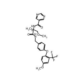 COC[C@@](C)(NC(=O)c1cncnc1)C(=O)NCc1ccc(Oc2ccc(OC)cc2C(F)(F)F)cc1